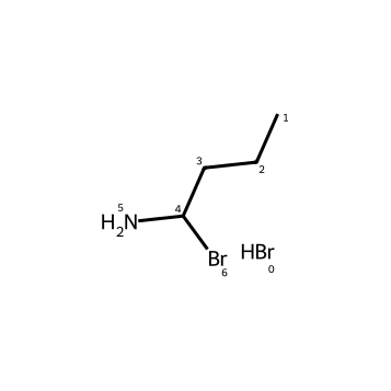 Br.CCCC(N)Br